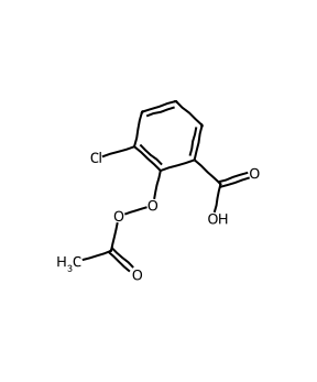 CC(=O)OOc1c(Cl)cccc1C(=O)O